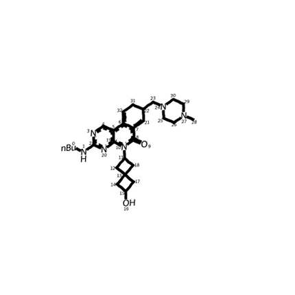 CCCCNc1ncc2c3c(c(=O)n(C4CC5(CC(O)C5)C4)c2n1)=CC(CN1CCN(C)CC1)CC=3